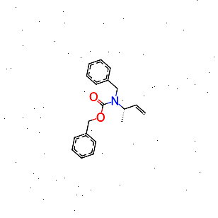 C=C[C@H](C)N(Cc1ccccc1)C(=O)OCc1ccccc1